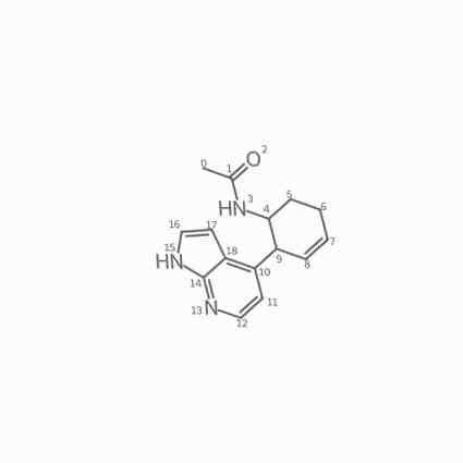 CC(=O)NC1CCC=CC1c1ccnc2[nH]ccc12